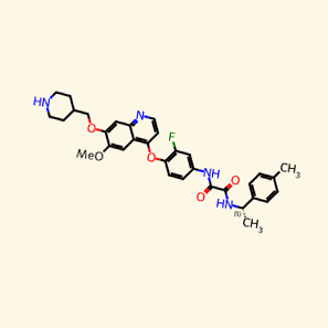 COc1cc2c(Oc3ccc(NC(=O)C(=O)N[C@@H](C)c4ccc(C)cc4)cc3F)ccnc2cc1OCC1CCNCC1